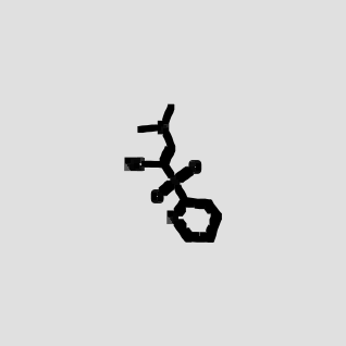 CN(C)C=C(C#N)S(=O)(=O)c1ccccn1